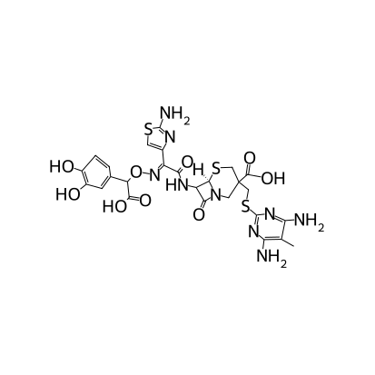 Cc1c(N)nc(SCC2(C(=O)O)CS[C@@H]3C(NC(=O)C(=NOC(C(=O)O)c4ccc(O)c(O)c4)c4csc(N)n4)C(=O)N3C2)nc1N